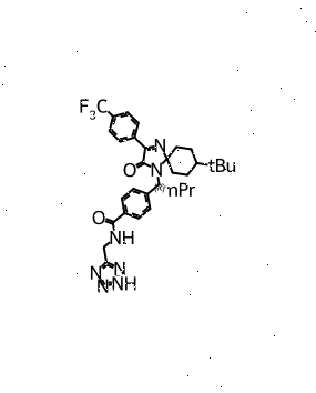 CCC[C@H](c1ccc(C(=O)NCc2nn[nH]n2)cc1)N1C(=O)C(c2ccc(C(F)(F)F)cc2)=NC12CCC(C(C)(C)C)CC2